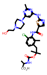 Cc1nc(Nc2ncc(C(=O)Nc3c(Cl)ccc(CC(C)(C)OC(=O)NC(C)C(=O)O)c3C)s2)cc(N2CCN(CCO)CC2)n1